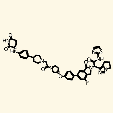 O=C1CC[C@H](Nc2ccc(C3CCN(CC(=O)N4CC[C@H](Oc5ccc(-c6cc(F)c7c(c6)C(=O)N(C(C(=O)Nc6nccs6)c6ncn8c6CCC8)C7)cc5)C4)CC3)cc2)C(=O)N1